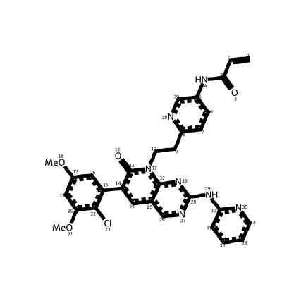 C=CC(=O)Nc1ccc(CCn2c(=O)c(-c3cc(OC)cc(OC)c3Cl)cc3cnc(Nc4ccccn4)nc32)nc1